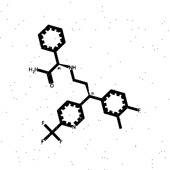 Cc1cc([C@H](CCN[C@@H](C(N)=O)c2ccccc2)c2ccc(C(F)(F)F)nc2)ccc1F